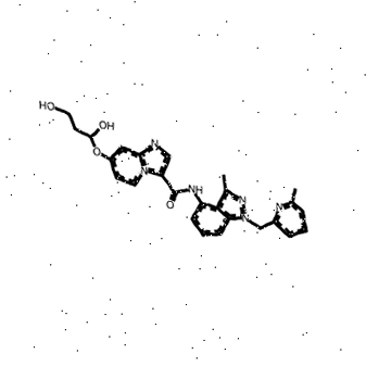 Cc1cccc(Cn2nc(C)c3c(NC(=O)c4cnc5cc(OC(O)CCO)ccn45)cccc32)n1